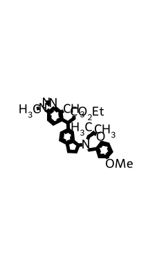 CCOC(=O)CC(c1ccc2c(c1)C(N1Cc3cc(OC)ccc3OC(C)(C)C1)CC2)c1ccc2c(nnn2C)c1C